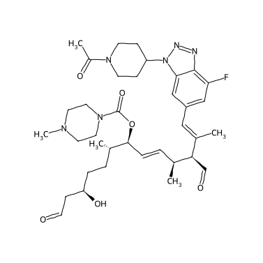 CC(=O)N1CCC(n2nnc3c(F)cc(/C=C(\C)[C@@H](C=O)[C@@H](C)/C=C/[C@H](OC(=O)N4CCN(C)CC4)[C@@H](C)CC[C@@H](O)CC=O)cc32)CC1